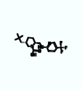 CC(C)(C)C[C@@H]1CC[C@@H](CNc2ccc(C(F)(F)F)cn2)N(C(=O)O)C1